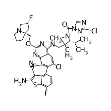 CC(C)[C@H]1N(C(=O)n2cnc(Cl)n2)C[C@@]1(C)CN(C)c1nc(OC[C@@]23CCCN2C[C@H](F)C3)nc2c(F)c(-c3ccc(F)c4sc(N)c(C#N)c34)c(Cl)cc12